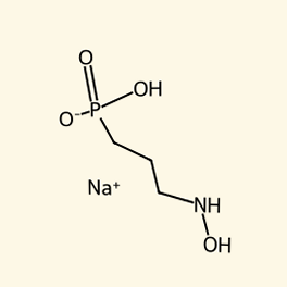 O=P([O-])(O)CCCNO.[Na+]